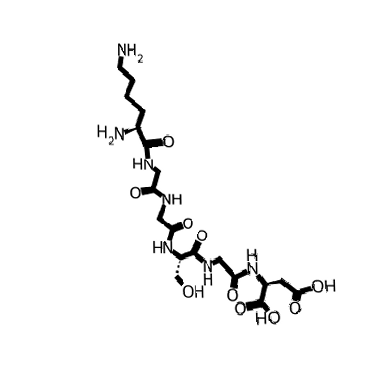 NCCCC[C@H](N)C(=O)NCC(=O)NCC(=O)N[C@@H](CO)C(=O)NCC(=O)N[C@@H](CC(=O)O)C(=O)O